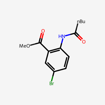 CCCCC(=O)Nc1ccc(Br)cc1C(=O)OC